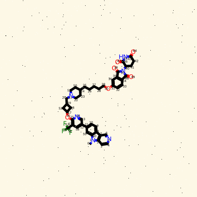 Cn1c2ccncc2c2ccc(-c3cnc(OC4CC(CN5CCC(CCCCCOc6ccc7c(c6)C(=O)N(C6CCC(=O)NC6=O)C7=O)CC5)C4)c(C(F)(F)F)c3)cc21